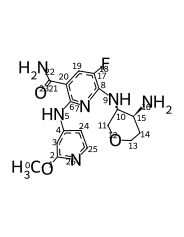 COc1cc(Nc2nc(N[C@@H]3COCC[C@@H]3N)c(F)cc2C(N)=O)ccn1